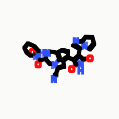 N#Cc1cc2c(C3=C(c4cnc5ccccn45)C(=O)NC3=O)ccc3c2n1CC(C(=O)N1CC2CCC(C1)O2)NC3